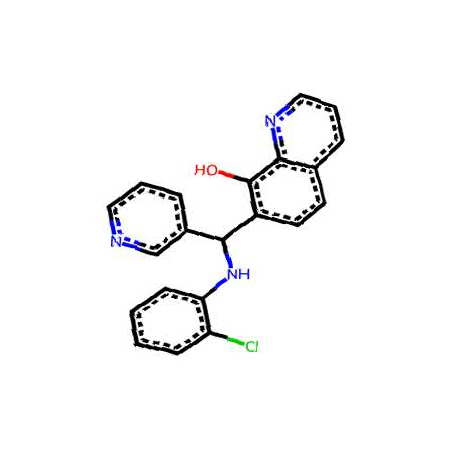 Oc1c(C(Nc2ccccc2Cl)c2cccnc2)ccc2cccnc12